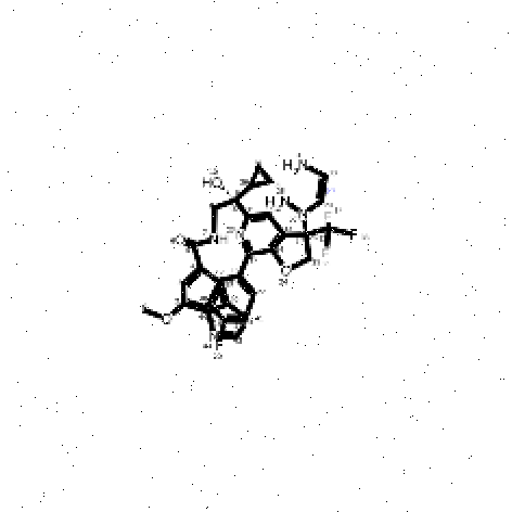 COc1cc(C(=O)NC[C@](O)(c2cc3c(c(-c4ccc(F)cc4)n2)OC[C@@]3(N(N)/C=C\N)C(F)(F)F)C2CC2)cc2scnc12